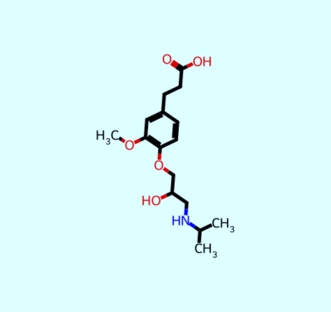 COc1cc(CCC(=O)O)ccc1OCC(O)CNC(C)C